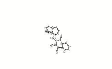 O=C1C(Nc2cccc3cc[nH]c23)=C(Cl)C(=O)c2ncccc21